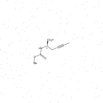 CC#CC[C@@H](NC(=O)OC(C)(C)C)C(=O)O